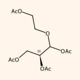 CC(=O)OCCOC(OC(C)=O)[C@H](COC(C)=O)OC(C)=O